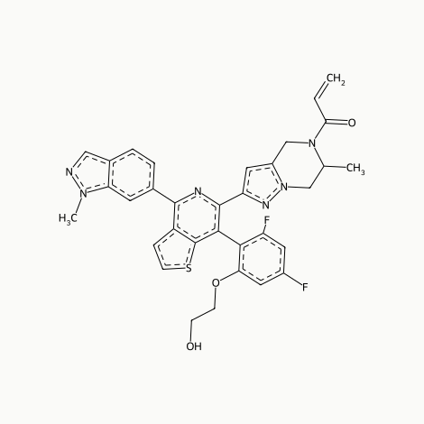 C=CC(=O)N1Cc2cc(-c3nc(-c4ccc5cnn(C)c5c4)c4ccsc4c3-c3c(F)cc(F)cc3OCCO)nn2CC1C